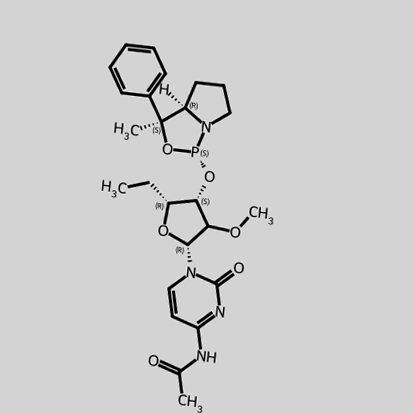 CC[C@H]1O[C@@H](n2ccc(NC(C)=O)nc2=O)C(OC)[C@H]1O[P@]1O[C@@](C)(c2ccccc2)[C@H]2CCCN21